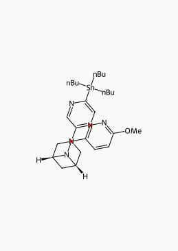 CCC[CH2][Sn]([CH2]CCC)([CH2]CCC)[c]1cnc(N2C[C@H]3C[C@@H](C2)N3Cc2ccc(OC)nc2)cn1